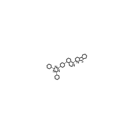 c1ccc(-c2nc(-c3ccccc3)nc(-c3ccc(-c4cccc5c(-c6ccc7c(n6)sc6ccccc67)nccc45)cc3)n2)cc1